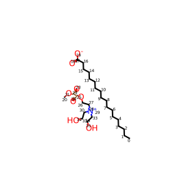 CCCCCCCCCCCCCCCCCC(=O)[O-].COS(=O)(=O)OCC[N+](C)(CCO)CCO